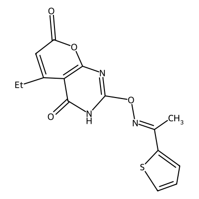 CCc1cc(=O)oc2nc(O/N=C(\C)c3cccs3)[nH]c(=O)c12